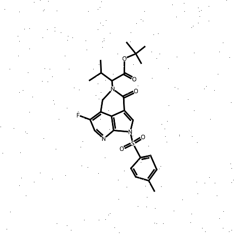 Cc1ccc(S(=O)(=O)n2cc3c4c(c(F)cnc42)CN(C(C(=O)OC(C)(C)C)C(C)C)C3=O)cc1